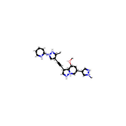 COc1cc(-c2cnn(C)c2)cn2ncc(C#Cc3cn(-c4ccccn4)nc3C)c12